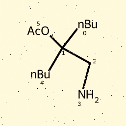 CCCCC(CN)(CCCC)OC(C)=O